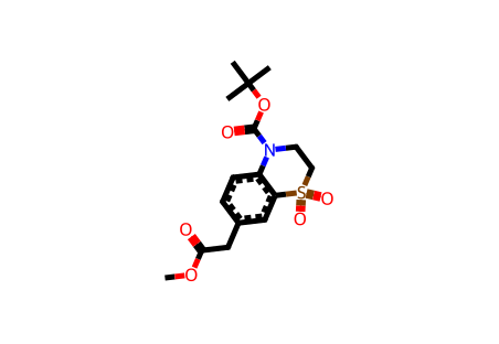 COC(=O)Cc1ccc2c(c1)S(=O)(=O)CCN2C(=O)OC(C)(C)C